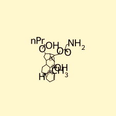 CCCC(O)OC1CC2C3CC[C@H]4CCC=C[C@]4(C)C3[C@@H](O)C[C@@]23C(COC(=O)CN)C13